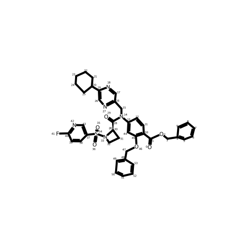 O=C(OCc1ccccc1)c1ccc(N(Cc2cnc(C3CCCCC3)cn2)C(=O)[C@H]2CCN2S(=O)(=O)c2ccc(F)nc2)cc1OCc1ccccc1